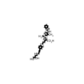 Cc1cc(N(C)c2nc(C(=O)O)c(CCCOc3ccc(C#CCNCC[C@H](O)CO)cc3F)s2)nnc1Nc1nc2ccccc2s1